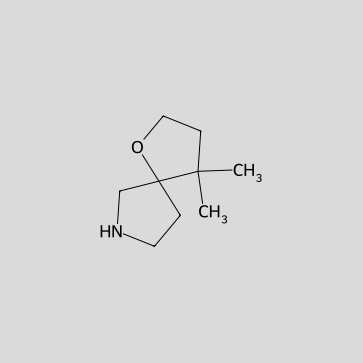 CC1(C)CCOC12CCNC2